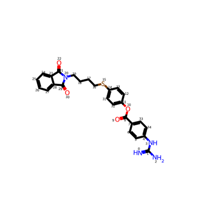 N=C(N)Nc1ccc(C(=O)Oc2ccc(SCCCCN3C(=O)c4ccccc4C3=O)cc2)cc1